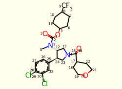 CN(C(=O)OC1CCC(C(F)(F)F)CC1)[C@@H]1CN(C(=O)C2CCOCC2)C[C@H]1c1ccc(Cl)c(Cl)c1